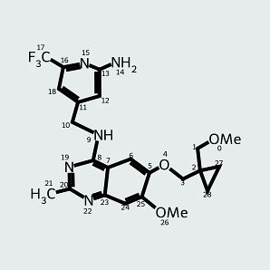 COCC1(COc2cc3c(NCc4cc(N)nc(C(F)(F)F)c4)nc(C)nc3cc2OC)CC1